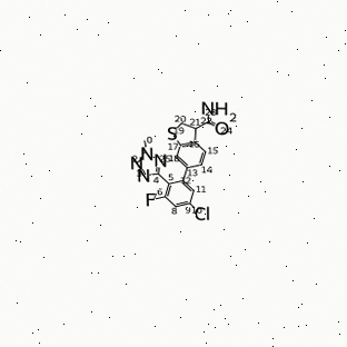 Cn1nnc(-c2c(F)cc(Cl)cc2-c2ccc3c(c2)SCC3C(N)=O)n1